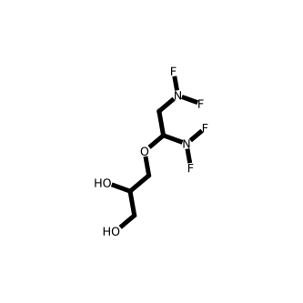 OCC(O)COC(CN(F)F)N(F)F